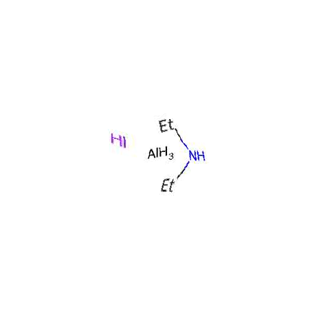 CCNCC.I.[AlH3]